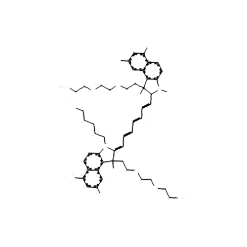 CCN1c2ccc3c(S(=O)(=O)O)cc(S(=O)(=O)O)cc3c2C(C)(CCOCCOCCOC)C1C=CC=CC=CC=C1N(CCCCCC(=O)O)c2ccc3c(S(=O)(=O)O)cc(S(=O)(=O)O)cc3c2C1(C)CCOCCOCCOC